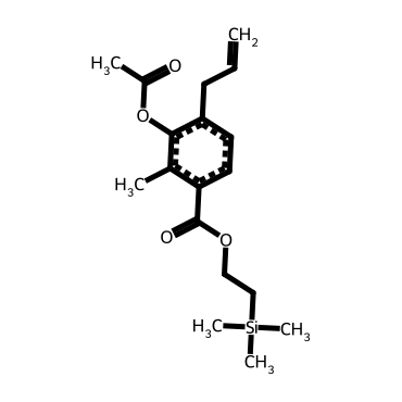 C=CCc1ccc(C(=O)OCC[Si](C)(C)C)c(C)c1OC(C)=O